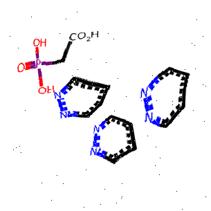 O=C(O)CP(=O)(O)O.c1ccnnc1.c1ccnnc1.c1ccnnc1